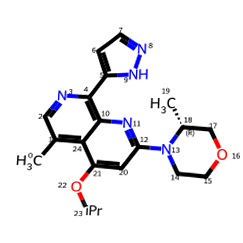 Cc1cnc(-c2ccn[nH]2)c2nc(N3CCOC[C@H]3C)cc(OC(C)C)c12